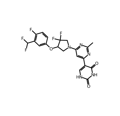 Cc1nc(-c2c[nH]c(=O)[nH]c2=O)cc(N2CC(Oc3ccc(F)c(C(F)F)c3)C(F)(F)C2)n1